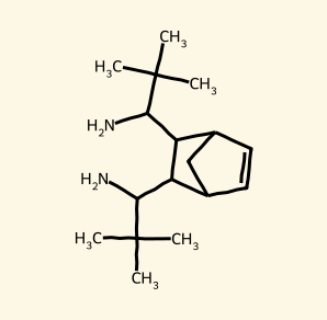 CC(C)(C)C(N)C1C2C=CC(C2)C1C(N)C(C)(C)C